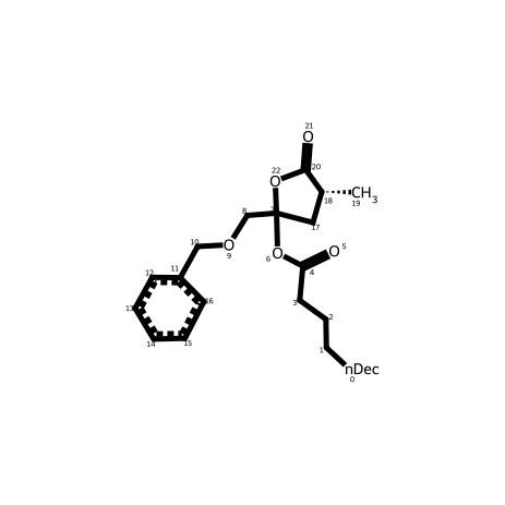 CCCCCCCCCCCCCC(=O)OC1(COCc2ccccc2)C[C@@H](C)C(=O)O1